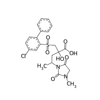 CC(CC(O)(CS(=O)(=O)c1cc(Cl)ccc1-c1ccccc1)C(=O)O)N1C(=O)CN(C)C1=O